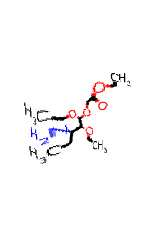 CCOC(=O)COC(OCC)[C@@H](OCC)[C@H](N)CC